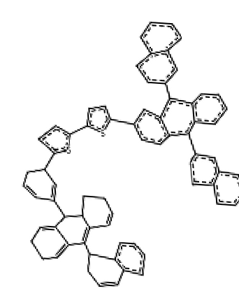 C1=CC2=C(C3CC=Cc4ccccc43)C3=CCCC=C3C(C3=CC(c4ccc(-c5ccc(-c6ccc7c(-c8ccc9ccccc9c8)c8ccccc8c(-c8ccc9ccccc9c8)c7c6)s5)s4)CC=C3)C2CC1